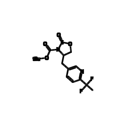 CC(C)(C)OC(=O)N1C(Cc2ccc(C(C)(F)F)nc2)COS1=O